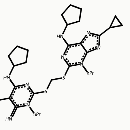 CCCn1c(SCSc2nc(NC3CCCC3)c(C)c(=N)n2CCC)nc(NC2CCCC2)c2nc(C3CC3)nc1-2